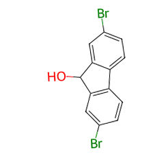 OC1c2cc(Br)ccc2-c2ccc(Br)cc21